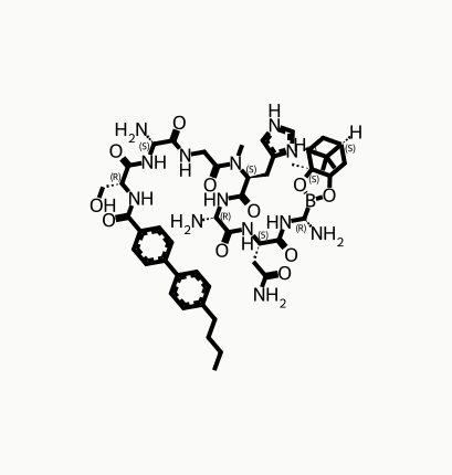 CCCCc1ccc(-c2ccc(C(=O)N[C@H](CO)C(=O)N[C@H](N)C(=O)NCC(=O)N(C)[C@@H](Cc3c[nH]cn3)C(=O)N[C@@H](N)C(=O)N[C@@H](CC(N)=O)C(=O)N[C@@H](N)B3OC4C[C@@H]5C[C@@H](C5(C)C)[C@]4(C)O3)cc2)cc1